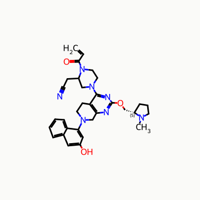 C=CC(=O)N1CCN(c2nc(OC[C@@H]3CCCN3C)nc3c2CCN(c2cc(O)cc4ccccc24)C3)CC1CC#N